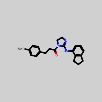 COc1ccc(CCC(=O)N2CCN=C2Nc2cccc3c2CCC3)cc1